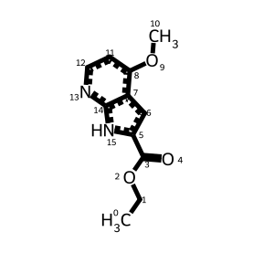 CCOC(=O)c1cc2c(OC)ccnc2[nH]1